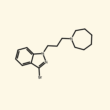 Brc1nn(CCCN2CCCCCC2)c2ccccc12